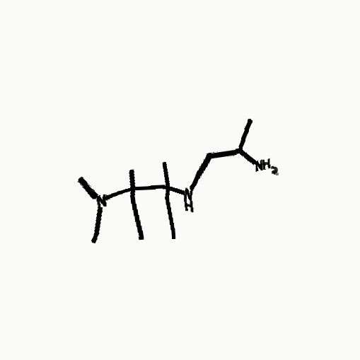 CC(N)CNC(C)(C)C(C)(C)N(C)C